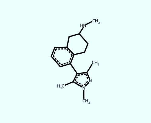 CNC1CCc2c(cccc2-c2c(C)nn(C)c2C)C1